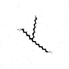 CCCCCCCCCC[C](CCCCCCC)CCCCCCCCCF